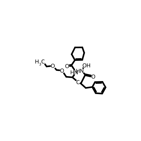 CCOCOCC(CC(Cc1ccccc1)C(=O)NO)NC(=O)C1=CCCCC1